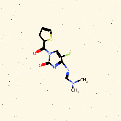 CN(C)/C=N/c1nc(=O)n(C(=O)C2CC=CS2)cc1F